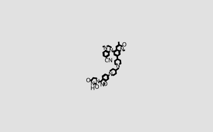 Cc1cc2c(N3CCN(C)c4ccc(C#N)cc43)cc(C3CCN(CC4CCN(c5ccc6c(N7CCC(=O)NC7=O)noc6c5)CC4)CC3)cc2n(C)c1=O